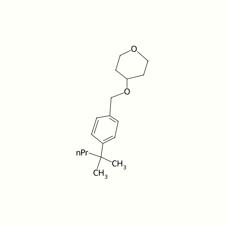 CCCC(C)(C)c1ccc(COC2CCOCC2)cc1